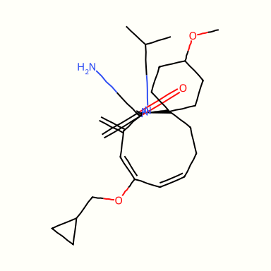 C=C1/C=C(OCC2CC2)\C=C/CCC2(CCC(OC)CC2)[C@@]12N=C(N)N(C(C)C)C2=O